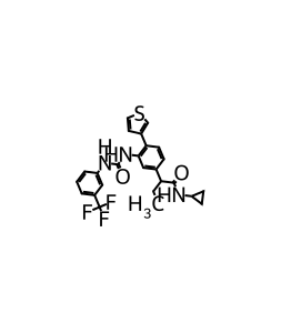 CCC(C(=O)NC1CC1)c1ccc(-c2ccsc2)c(NC(=O)Nc2cccc(C(F)(F)F)c2)c1